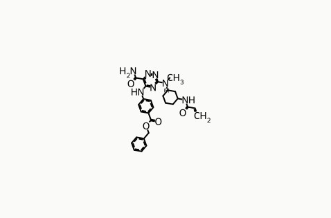 C=CC(=O)NC1CCC[C@@H](N(C)c2nnc(C(N)=O)c(Nc3ccc(C(=O)OCc4ccccc4)cc3)n2)C1